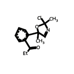 CCC(=O)c1ccccc1C1(C)[C]=NC(C)(Cl)O1